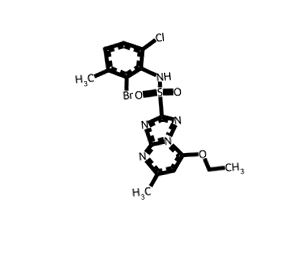 CCOc1cc(C)nc2nc(S(=O)(=O)Nc3c(Cl)ccc(C)c3Br)nn12